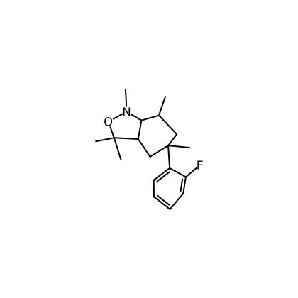 CC1CC(C)(c2ccccc2F)CC2C1N(C)OC2(C)C